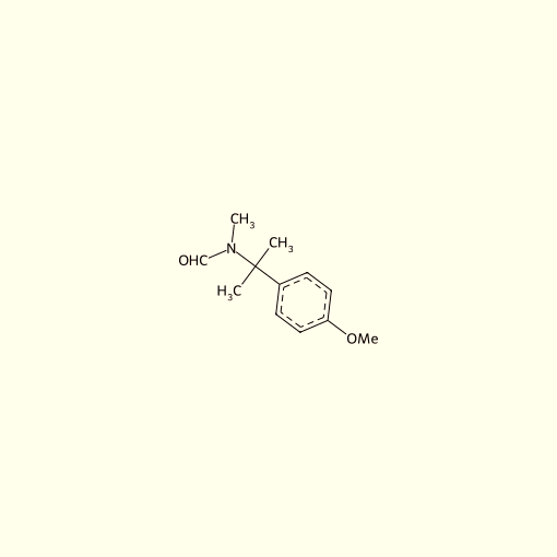 COc1ccc(C(C)(C)N(C)C=O)cc1